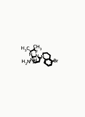 CC(F)[C@@H](C)\N=C(/N=C(\C=C/F)N1CCCc2c(Br)cccc21)NN